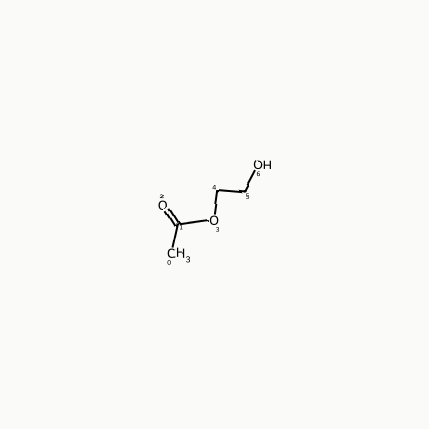 CC(=O)OCCO